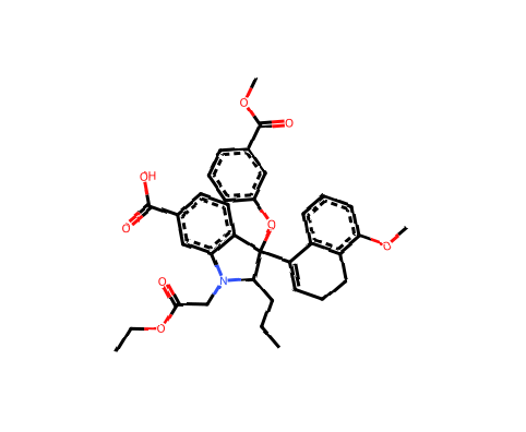 CCCC1N(CC(=O)OCC)c2cc(C(=O)O)ccc2C1(Oc1cccc(C(=O)OC)c1)C1=CCCc2c(OC)cccc21